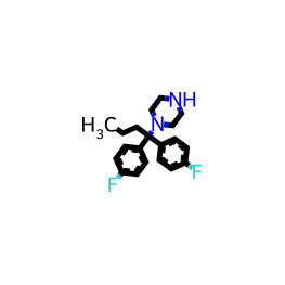 CCCC(c1ccc(F)cc1)(c1ccc(F)cc1)N1CCNCC1